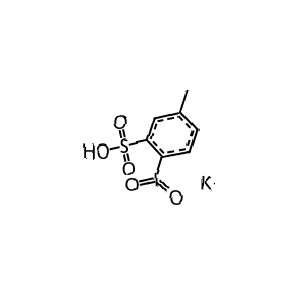 Cc1ccc(I(=O)=O)c(S(=O)(=O)O)c1.[K]